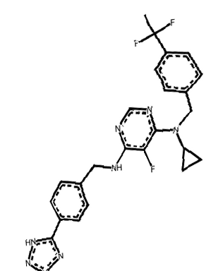 CC(F)(F)c1ccc(CN(c2ncnc(NCc3ccc(-c4nnn[nH]4)cc3)c2F)C2CC2)cc1